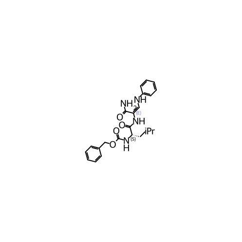 CC(C)C[C@H](NC(=O)OCc1ccccc1)C(=O)N/C(=C/Nc1ccccc1)C(N)=O